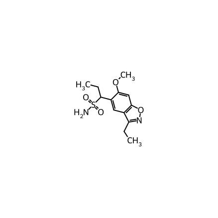 CCc1noc2cc(OC)c(C(CC)S(N)(=O)=O)cc12